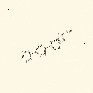 O=C(O)c1nc2cc(-c3ccc(-c4ccccc4)cc3)ccn2n1